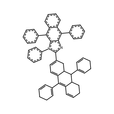 C1=CC(C2=C3C=CCCC3C(C3=CCCC=C3)C3CC(c4nc5c(-c6ccccc6)c6ccccc6c(-c6ccccc6)c5n4-c4ccccc4)=CC=C23)=CCC1